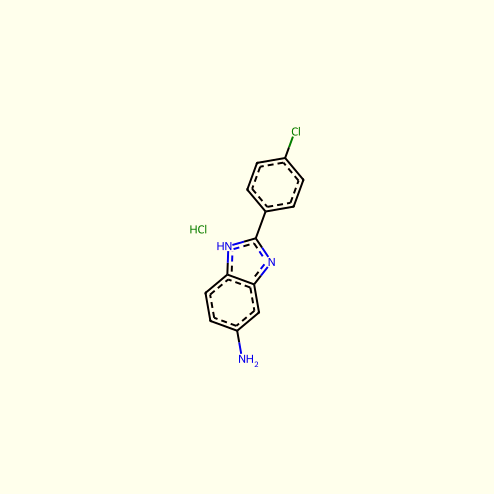 Cl.Nc1ccc2[nH]c(-c3ccc(Cl)cc3)nc2c1